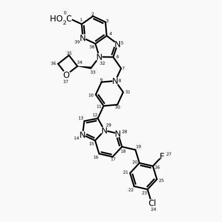 O=C(O)c1ccc2nc(CN3CC=C(c4cnc5ccc(Cc6ccc(Cl)cc6F)nn45)CC3)n(C[C@@H]3CCO3)c2n1